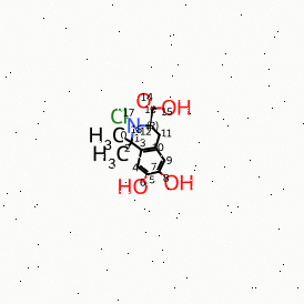 CC1(C)c2cc(O)c(O)cc2C[C@H](C(=O)O)N1Cl